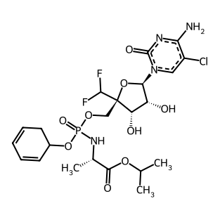 CC(C)OC(=O)[C@H](C)NP(=O)(OC[C@@]1(C(F)F)O[C@@H](n2cc(Cl)c(N)nc2=O)[C@H](O)[C@@H]1O)OC1C=CC=CC1